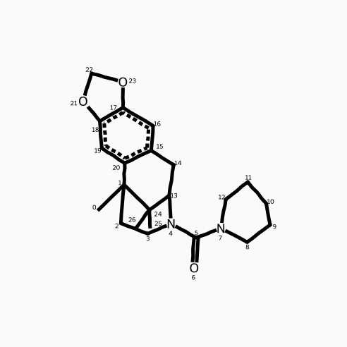 CC12CCN(C(=O)N3CCCCC3)C(Cc3cc4c(cc31)OCO4)C2(C)C